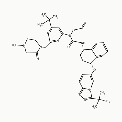 CN1CCN(Cc2nc(N(OC=O)C(=O)N[C@H]3CC[C@@H](Oc4ccc5nnc(C(C)(C)C)n5c4)c4ccccc43)cc(C(C)(C)C)n2)C(=O)C1